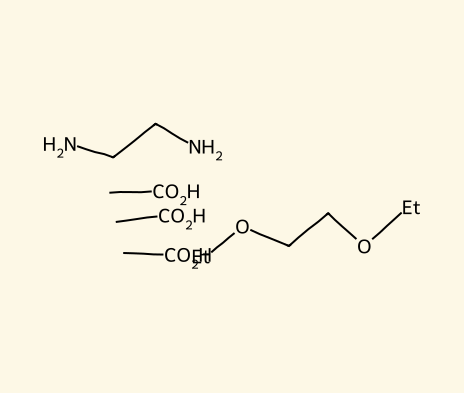 CC(=O)O.CC(=O)O.CC(=O)O.CCOCCOCC.NCCN